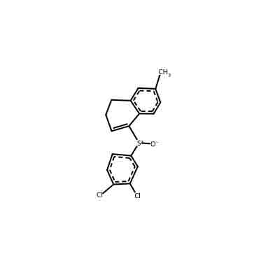 Cc1ccc2c(c1)CCC=C2[S+]([O-])c1ccc(Cl)c(Cl)c1